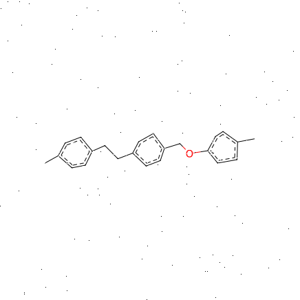 Cc1ccc(CCc2ccc(COc3ccc(C)cc3)cc2)cc1